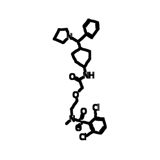 CN(CCOCC(=O)NC1CCC(C(c2ccccc2)N2CCCC2)CC1)S(=O)(=O)c1c(Cl)cccc1Cl